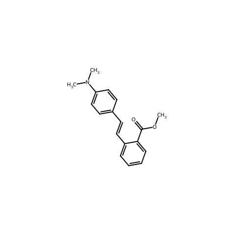 COC(=O)c1ccccc1C=Cc1ccc(N(C)C)cc1